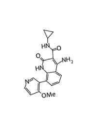 COc1ccncc1-c1cccc2c(N)c(C(=O)NC3CC3)c(=O)[nH]c12